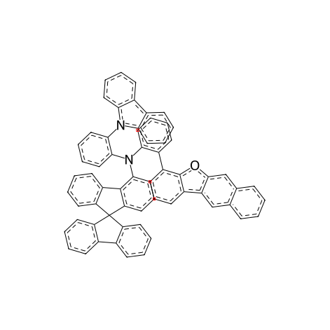 c1ccc(N(c2ccccc2-n2c3ccccc3c3ccccc32)c2cccc3c2-c2ccccc2C32c3ccccc3-c3ccccc32)c(-c2cccc3c2oc2cc4ccccc4cc23)c1